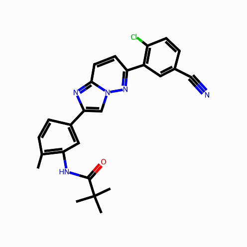 Cc1ccc(-c2cn3nc(-c4cc(C#N)ccc4Cl)ccc3n2)cc1NC(=O)C(C)(C)C